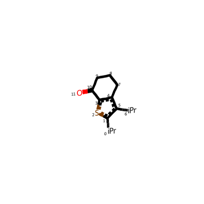 CC(C)c1sc2c(c1C(C)C)CCCC2=O